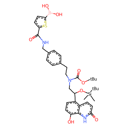 CC(C)(C)OC(=O)N(CCc1ccc(CNC(=O)c2ccc(B(O)O)s2)cc1)CC(O[Si](C)(C)C(C)(C)C)c1ccc(O)c2[nH]c(=O)ccc12